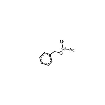 CC(=O)[N+]([O])OCc1ccccc1